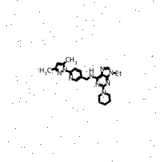 CCn1cnc2c(NCc3ccc(-n4nc(C)cc4C)nc3)nc(N3CCCCC3)nc21